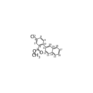 COC(=O)c1cc(Cl)ccc1-c1ccc2ccccc2c1